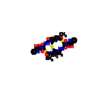 CSC[C@H]1C(=O)SCC(NC(=O)c2nc3ccccc3cc2O)C(=O)NCC(=O)N(C)[C@H]2CSSCC(C(=O)N1C)N(C)C(=O)CNC(=O)C(NC(=O)c1nc3ccccc3cc1O)CSC(=O)[C@H](CSC)N(C)C2=O